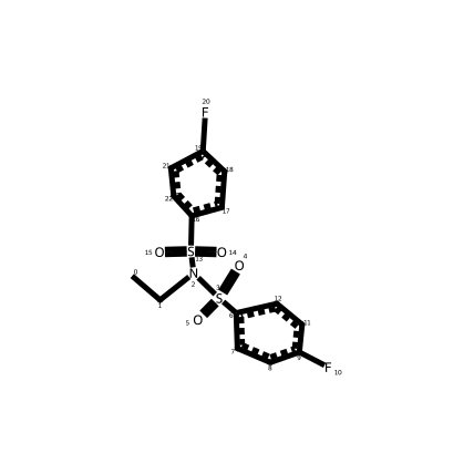 CCN(S(=O)(=O)c1ccc(F)cc1)S(=O)(=O)c1ccc(F)cc1